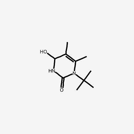 CC1=C(C)N(C(C)(C)C)C(=O)NC1O